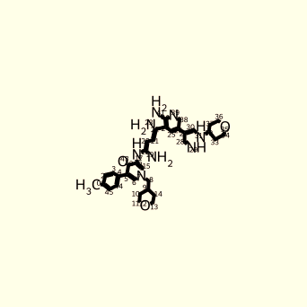 Cc1ccc(-c2cn(CC3CCOCC3)cc(N/C(N)=C/C=C(\N)c3cc(/C(C=N)=C/NC4CCOCC4)cnc3N)c2=O)cc1